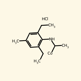 CCc1cc(C)cc(CC)c1N[CH](C)[Co].Cl